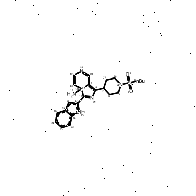 CCCCS(=O)(=O)N1CCC(C2=C3C=NC=C[N+]3(N)C(c3cc4ccccc4[nH]3)=N2)CC1